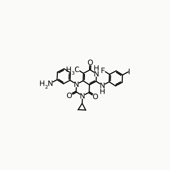 Cc1c(=O)[nH]c(Nc2ccc(I)cc2F)c2c(=O)n(C3CC3)c(=O)n(-c3cccc(N)c3)c12